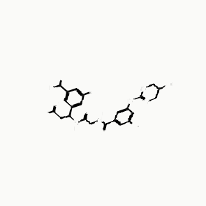 O=C(O)CC(NC(=O)CNC(=O)c1cc(O)cc(NC2=NCC(O)CN2)c1)c1cc(Cl)cc(C(F)F)c1